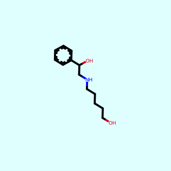 OCCCCCNCC(O)c1ccccc1